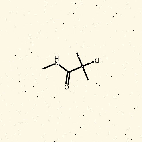 CNC(=O)C(C)(C)Cl